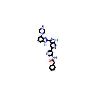 CN1CCN(c2cccc3[nH]c(-c4n[nH]c5cnc(-c6cncc(NC(=O)Cc7ccccc7)c6)cc45)nc23)CC1